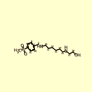 CS(=O)(=O)c1ccc(CNCCCCCCNCCO)cc1